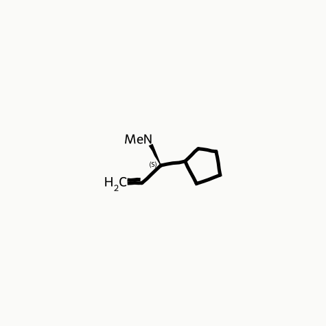 C=C[C@@H](NC)C1CCCC1